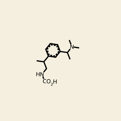 CC(CNC(=O)O)c1cccc(C(C)N(C)C)c1